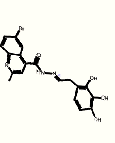 Cc1cc(C(=O)N/N=C/Cc2ccc(O)c(O)c2O)c2cc(Br)ccc2n1